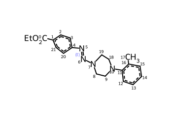 CCOC(=O)c1ccc(/N=N/N2CCN(c3ccccc3C)CC2)cc1